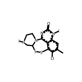 Cc1cc2c3c(nc(=O)n2I)N2CCN(I)CC2SSc3c1Cl